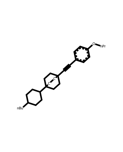 CCCCC1CCC(C23CCC(C#Cc4ccc(OCCC)cc4)(CC2)CC3)CC1